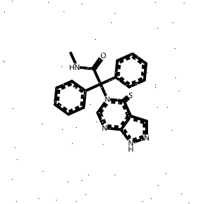 CNC(=O)C(c1ccccc1)(c1ccccc1)n1cnc2[nH]ncc2c1=S